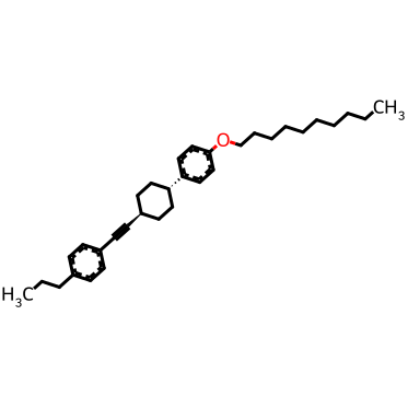 CCCCCCCCCCOc1ccc([C@H]2CC[C@H](C#Cc3ccc(CCC)cc3)CC2)cc1